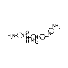 NC1CCN(Cc2ccc(-n3ccc(NC(=O)N4CCC(N)CC4)nc3=O)cc2)CC1